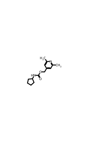 Cc1cc(COC(=O)NC2CCCC2)cc(C)n1